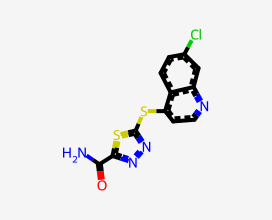 NC(=O)c1nnc(Sc2ccnc3cc(Cl)ccc23)s1